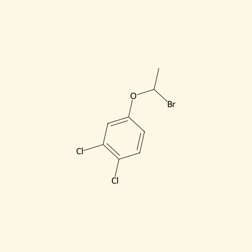 CC(Br)Oc1ccc(Cl)c(Cl)c1